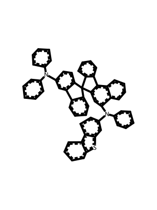 c1ccc(N(c2ccccc2)c2ccc3c(c2)-c2ccccc2C32c3ccccc3-c3c2cc(N(c2ccccc2)c2ccc4c(c2)sc2ccccc24)c2ccccc32)cc1